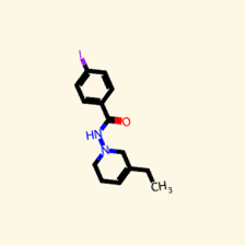 CCC1=CCCN(NC(=O)c2ccc(I)cc2)C1